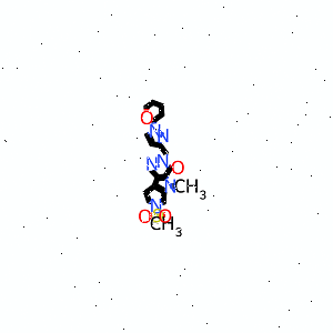 Cn1c2c(c3cnn(Cc4ccn(C5CCCCO5)n4)c(=O)c31)CCN(S(C)(=O)=O)C2